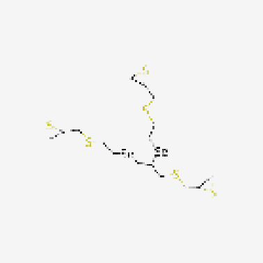 C(C[Se]CC(CSCC1CS1)[Se]CCSCC1CS1)SCC1CS1